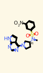 CN([C@@H]1CCN(c2ncnc3[nH]ccc23)C1)S(=O)(=O)c1cccc([N+](=O)[O-])c1